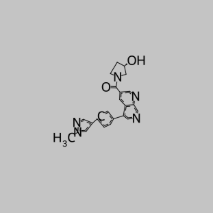 Cn1cc(-c2ccc(-c3cncc4ncc(C(=O)N5CC[C@@H](O)C5)cc34)cc2)cn1